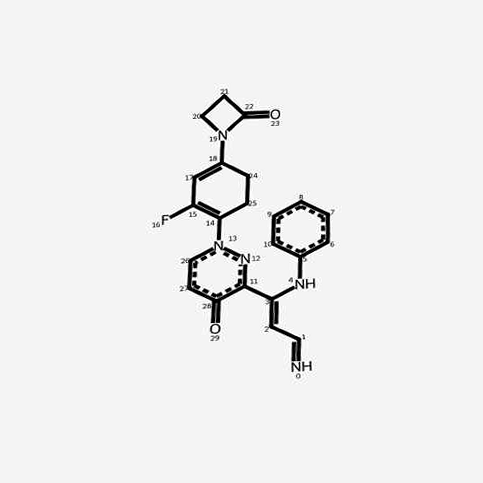 N=C/C=C(\Nc1ccccc1)c1nn(C2=C(F)C=C(N3CCC3=O)CC2)ccc1=O